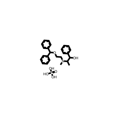 CC(C(O)c1ccccc1)N(C)CCOC(c1ccccc1)c1ccccc1.O=P(O)(O)O